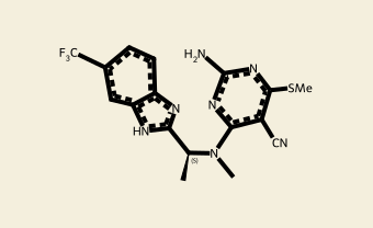 CSc1nc(N)nc(N(C)[C@@H](C)c2nc3ccc(C(F)(F)F)cc3[nH]2)c1C#N